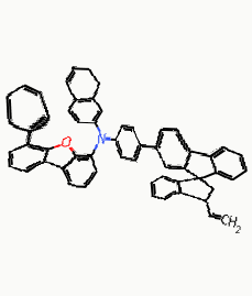 C=CC1CC2(c3ccccc3-c3ccc(-c4ccc(N(c5ccc6c(c5)CCC=C6)c5cccc6c5oc5c(-c7ccccc7)cccc56)cc4)cc32)c2ccccc21